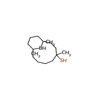 CC1(S)CCCCC2(C)BC(C)(CCC2)CC1